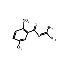 NC(N)=NC(=O)c1cc(C(F)(F)F)ccc1[N+](=O)[O-]